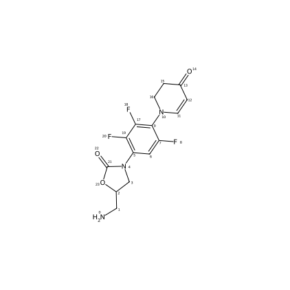 NCC1CN(c2cc(F)c(N3C=CC(=O)CC3)c(F)c2F)C(=O)O1